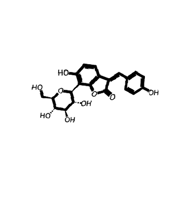 O=C1Oc2c(ccc(O)c2[C@@H]2O[C@H](CO)[C@@H](O)[C@H](O)[C@H]2O)/C1=C/c1ccc(O)cc1